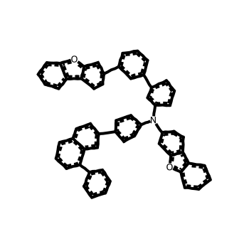 c1ccc(-c2cccc3ccc(-c4ccc(N(c5cccc(-c6cccc(-c7ccc8c(c7)oc7ccccc78)c6)c5)c5ccc6c(c5)oc5ccccc56)cc4)cc23)cc1